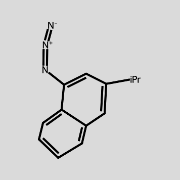 CC(C)c1cc(N=[N+]=[N-])c2ccccc2c1